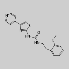 COc1ccccc1CCNC(=O)Nc1nc(-c2ccncc2)cs1